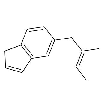 CC=C(C)Cc1ccc2c(c1)C=CC2